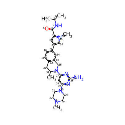 CC(C)NC(=O)c1cc(-c2ccc3c(c2)CN(c2cc(N4CCN(C)CC4)nc(N)n2)C(C)C3)cn1C